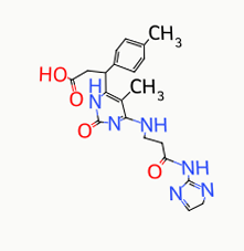 Cc1ccc(C(CC(=O)O)c2[nH]c(=O)nc(NCCC(=O)NC3=NCC=N3)c2C)cc1